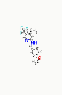 COc1ccc(CNc2cc(C)c(C(F)(F)F)cn2)cc1